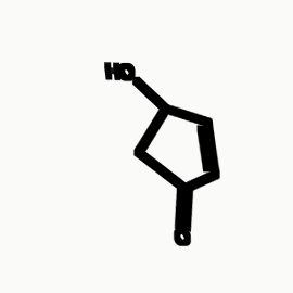 O=C1C=CC(O)C1